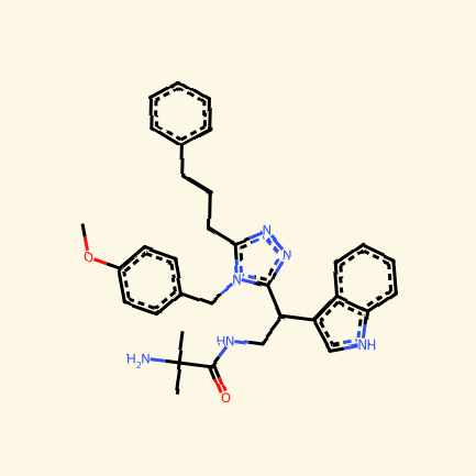 COc1ccc(Cn2c(CCCc3ccccc3)nnc2C(CNC(=O)C(C)(C)N)c2c[nH]c3ccccc23)cc1